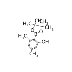 Cc1cc(C)c(B2OC(C)(C)C(C)(C)O2)c(O)c1